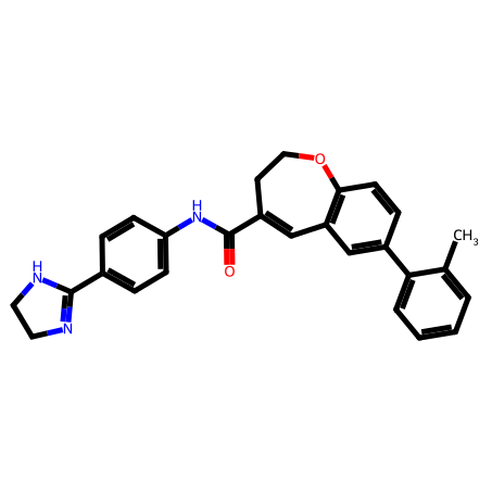 Cc1ccccc1-c1ccc2c(c1)C=C(C(=O)Nc1ccc(C3=NCCN3)cc1)CCO2